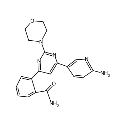 NC(=O)c1ccccc1-c1cc(-c2ccc(N)nc2)nc(N2CCOCC2)n1